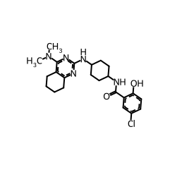 CN(C)c1nc(NC2CCC(NC(=O)c3cc(Cl)ccc3O)CC2)nc2c1CCCC2